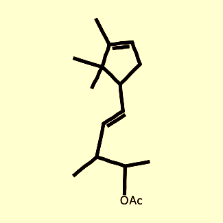 CC(=O)OC(C)C(C)/C=C/C1CC=C(C)C1(C)C